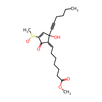 CCCCC#CC1(O)C=C([S+](C)[O-])C(=O)C1=CCCCCCC(=O)OC